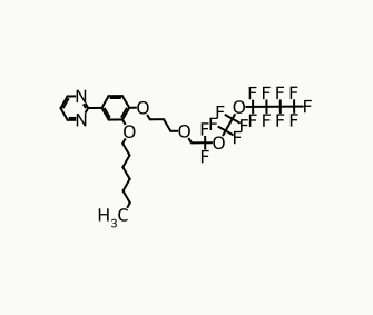 CCCCCCCOc1cc(-c2ncccn2)ccc1OCCCOCC(F)(F)OC(F)(F)C(F)(F)OC(F)(F)C(F)(F)C(F)(F)C(F)(F)F